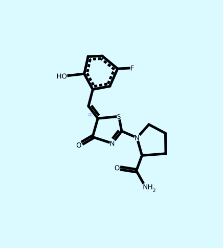 NC(=O)C1CCCN1C1=NC(=O)/C(=C/c2cc(F)ccc2O)S1